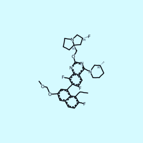 CCc1c(F)ccc2cc(OCOC)cc(-c3c(F)cc4c(N5CCC[C@@H](C)C5)nc(OC[C@@]56CCCN5C[C@H](F)C6)nc4c3F)c12